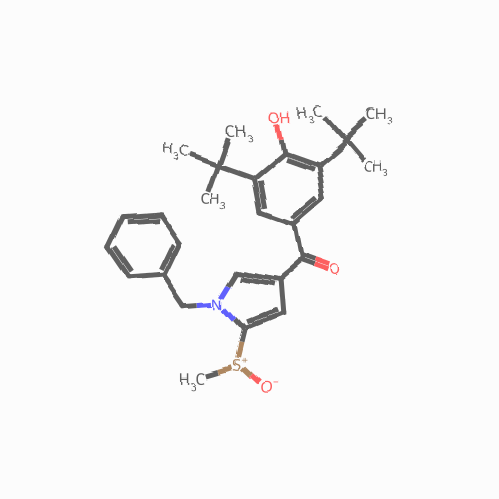 C[S+]([O-])c1cc(C(=O)c2cc(C(C)(C)C)c(O)c(C(C)(C)C)c2)cn1Cc1ccccc1